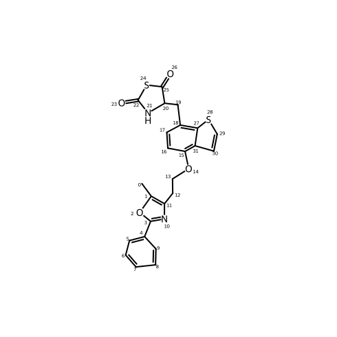 Cc1oc(-c2ccccc2)nc1CCOc1ccc(CC2NC(=O)SC2=O)c2sccc12